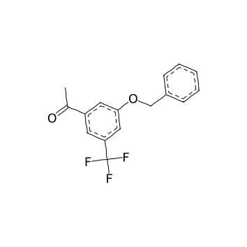 CC(=O)c1cc(OCc2ccccc2)cc(C(F)(F)F)c1